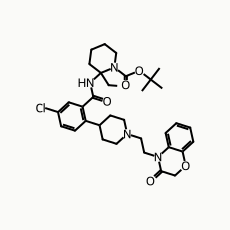 CCC1(NC(=O)c2cc(Cl)ccc2C2CCN(CCN3C(=O)COc4ccccc43)CC2)CCCCN1C(=O)OC(C)(C)C